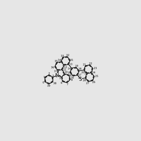 c1ccc(-n2c3ccccc3c3c4c(-c5ccc6c(c5)-c5cccc7cccc(c57)S6)cccc4ccc32)cc1